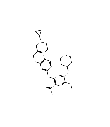 CCc1nc(C(N)=O)c(Nc2ccc3c(c2)OCC2=[N+]3CCN(C3CC3)C2)nc1NC1CCOCC1